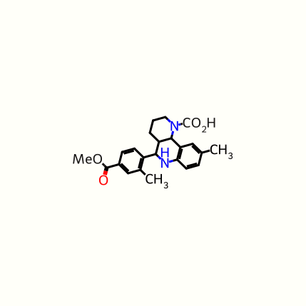 COC(=O)c1ccc(C2Nc3ccc(C)cc3C3C2CCCN3C(=O)O)c(C)c1